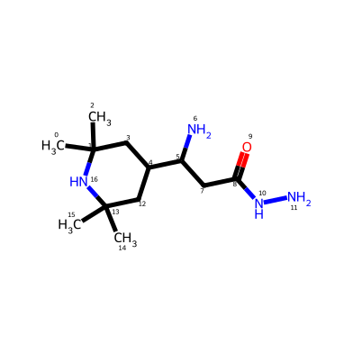 CC1(C)CC(C(N)CC(=O)NN)CC(C)(C)N1